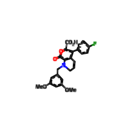 COc1cc(CN2CC=Cc3c(-c4ccc(F)cc4)c(C(=O)O)oc(=O)c32)cc(OC)c1